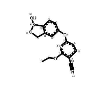 CCOc1nc(Oc2ccc3c(c2)COB3O)ccc1C#N